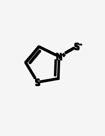 [S-][n+]1ccsc1